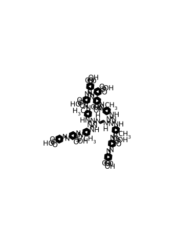 Cc1cc(Nc2nc(NCCNc3nc(Nc4ccc(N=Nc5ccc(N=Nc6ccc(S(=O)(=O)O)cc6)cc5S(=O)(=O)O)c(C)c4)nc(Nc4ccc(N=Nc5ccc(N=Nc6ccc(S(=O)(=O)O)cc6)cc5S(=O)(=O)O)c(C)c4)n3)nc(Nc3ccc(N=Nc4ccc(N=Nc5ccc(S(=O)(=O)O)cc5)cc4S(=O)(=O)O)c(C)c3)n2)ccc1N=Nc1ccc(N=Nc2ccc(S(=O)(=O)O)cc2)cc1S(=O)(=O)O